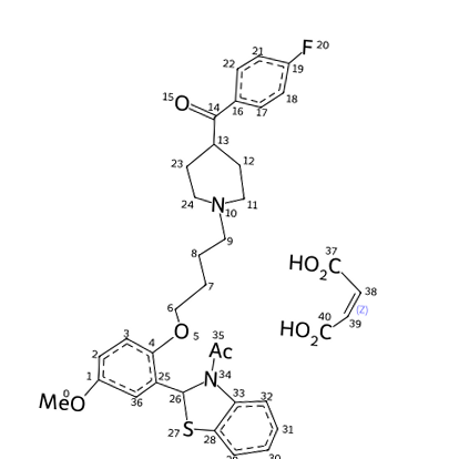 COc1ccc(OCCCCN2CCC(C(=O)c3ccc(F)cc3)CC2)c(C2Sc3ccccc3N2C(C)=O)c1.O=C(O)/C=C\C(=O)O